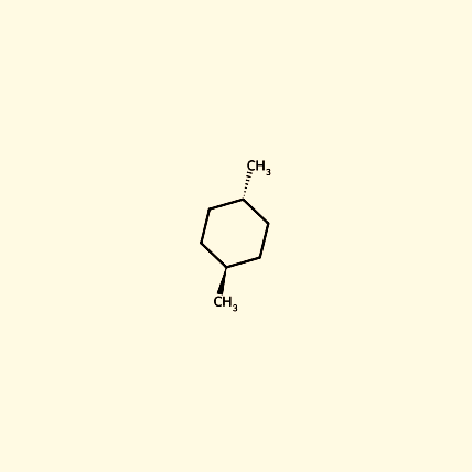 C[C@H]1CC[C@H](C)CC1